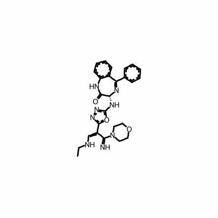 CCN/C=C(\C(=N)N1CCOCC1)c1nnc(N[C@H]2N=C(c3ccccc3)c3ccccc3NC2=O)o1